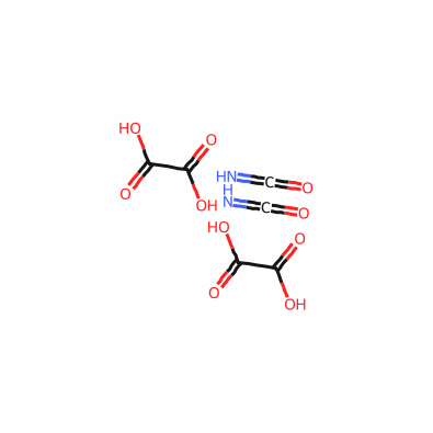 N=C=O.N=C=O.O=C(O)C(=O)O.O=C(O)C(=O)O